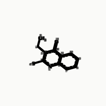 CCn1c([S])nc2ccccc2c1=O